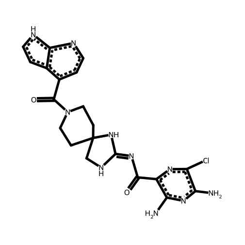 Nc1nc(N)c(C(=O)/N=C2\NCC3(CCN(C(=O)c4ccnc5[nH]ccc45)CC3)N2)nc1Cl